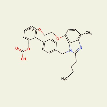 CCCCc1nc2c(C)ccc(OCCOC)c2n1Cc1ccc(-c2ccccc2OC(=O)O)cc1